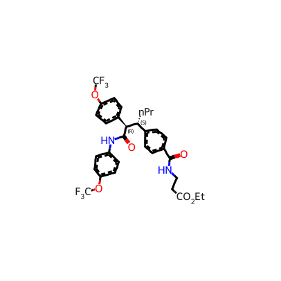 CCC[C@H](c1ccc(C(=O)NCCC(=O)OCC)cc1)[C@@H](C(=O)Nc1ccc(OC(F)(F)F)cc1)c1ccc(OC(F)(F)F)cc1